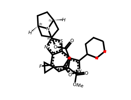 COC(=O)c1cc(F)c2nc(N3[C@@H]4CC[C@H]3C[C@@H](OC(=O)c3c(C56CCC(CC5)CC6)noc3C3CC3)C4)sc2c1